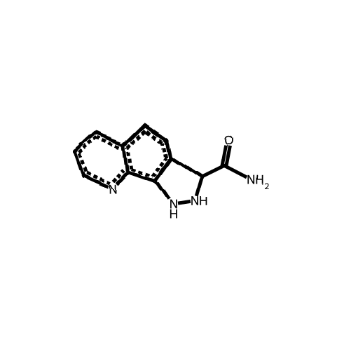 NC(=O)C1NNc2c1ccc1cccnc21